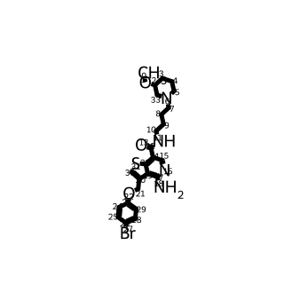 COC1CCCN(CCCCNC(=O)c2cnc(N)c3c(COc4ccc(Br)cc4)csc23)C1